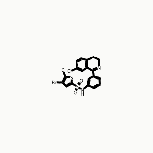 O=S(=O)(Nc1cccc(C2=NCCc3ccc(Cl)cc32)c1)c1cc(Br)c(Cl)s1